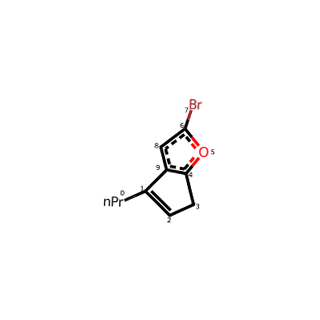 CCCC1=CCc2oc(Br)cc21